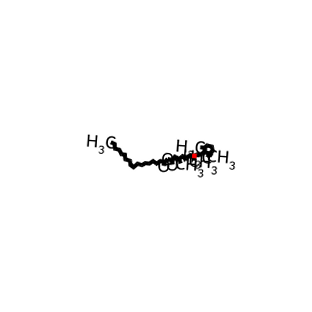 CCCCCCCC/C=C\CCCCCCCC(=O)OC(=O)/C=C(C)/C=C/C=C(C)/C=C/C1=C(C)CCCC1(C)C